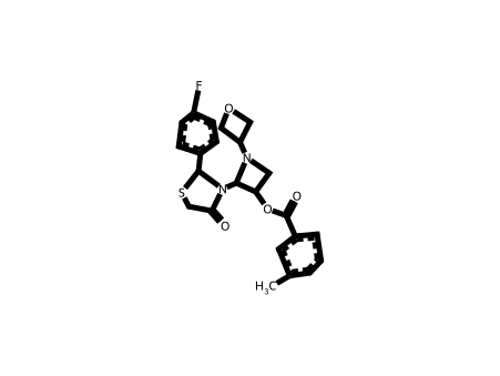 Cc1cccc(C(=O)OC2CN(C3COC3)C2N2C(=O)CSC2c2ccc(F)cc2)c1